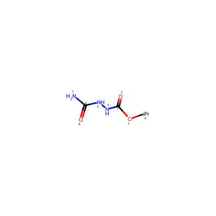 CC(C)OC(=O)NNC(N)=O